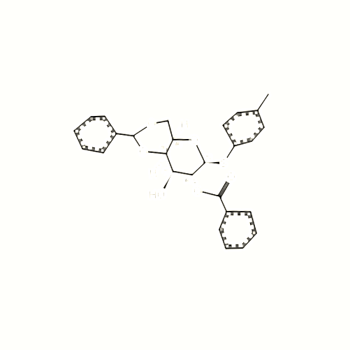 Cc1ccc(S[C@@H]2O[C@@H]3COC(c4ccccc4)O[C@@H]3[C@H](O)[C@H]2OC(=O)c2ccccc2)cc1